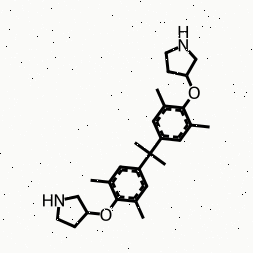 Cc1cc(C(C)(C)c2cc(C)c(OC3CCNC3)c(C)c2)cc(C)c1OC1CCNC1